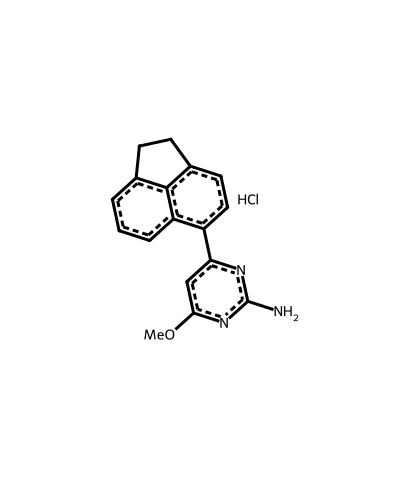 COc1cc(-c2ccc3c4c(cccc24)CC3)nc(N)n1.Cl